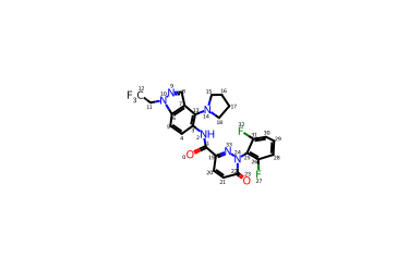 O=C(Nc1ccc2c(cnn2CC(F)(F)F)c1N1CCCC1)c1ccc(=O)n(-c2c(F)cccc2F)n1